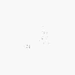 Cl.c1ccc(Cc2ccc3c(c2)OCC(c2ccccc2)C3c2ccc(OCCCCCCCCCCN3CCOCC3)cc2)cc1